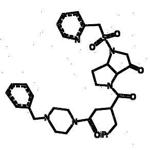 CC(C)CC(CC(=O)N1CCN(Cc2ccccc2)CC1)C(=O)N1CCC2C1C(=O)CN2S(=O)(=O)Cc1ccccn1